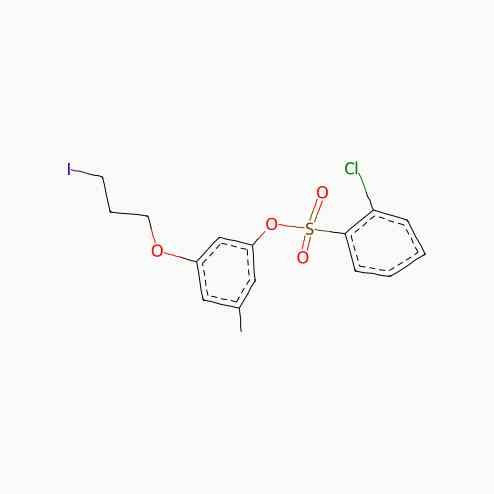 Cc1cc(OCCCI)cc(OS(=O)(=O)c2ccccc2Cl)c1